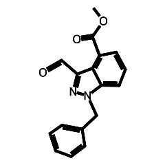 COC(=O)c1cccc2c1c(C=O)nn2Cc1ccccc1